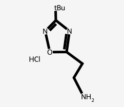 CC(C)(C)c1noc(CCN)n1.Cl